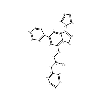 N[C@H](CNc1nc(-c2ccncc2)nc2c(-n3ccnn3)csc12)Cc1ccccc1